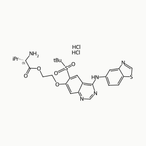 CC(C)[C@H](N)C(=O)OCCOc1cc2ncnc(Nc3ccc4scnc4c3)c2cc1S(=O)(=O)C(C)(C)C.Cl.Cl